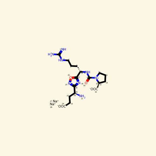 N=C(N)NCCC[C@H](NC(=O)N1CCC[C@H]1C(=O)[O-])c1nc([C@@H](N)CCC(=O)[O-])no1.[Na+].[Na+]